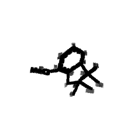 COc1cccc2c1CC(C)(C)C2(C)C